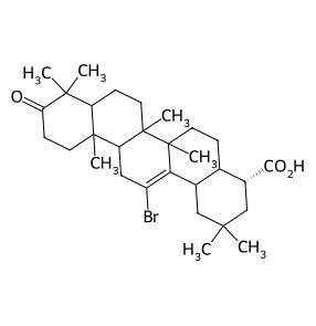 CC1(C)CC2C3=C(Br)CC4C5(C)CCC(=O)C(C)(C)C5CCC4(C)C3(C)CCC2[C@H](C(=O)O)C1